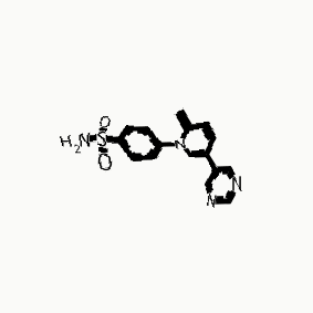 C=C1C=CC(c2cncnc2)=CN1c1ccc(S(N)(=O)=O)cc1